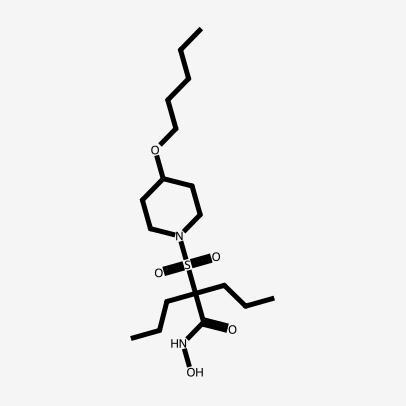 CCCCCOC1CCN(S(=O)(=O)C(CCC)(CCC)C(=O)NO)CC1